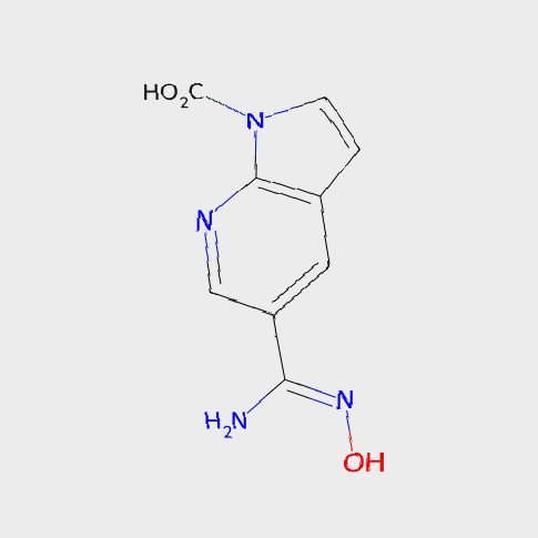 NC(=NO)c1cnc2c(ccn2C(=O)O)c1